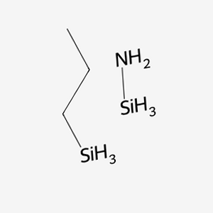 CCC[SiH3].N[SiH3]